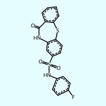 O=C1Nc2cc(S(=O)(=O)Nc3ccc(F)cc3)ccc2Sc2ccccc21